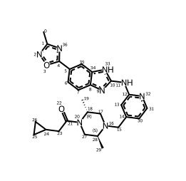 Cc1noc(-c2ccc3nc(Nc4cc(CN5C[C@@H](C)N(C(=O)CC6CC6)C[C@@H]5C)ccn4)[nH]c3c2)n1